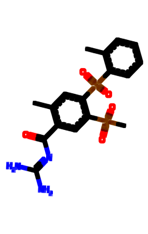 Cc1cc(S(=O)(=O)c2ccccc2C)c(S(C)(=O)=O)cc1C(=O)N=C(N)N